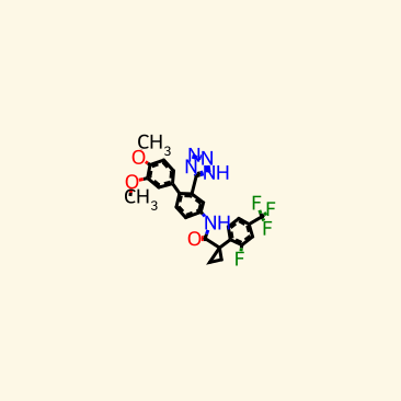 COc1ccc(-c2ccc(NC(=O)C3(c4ccc(C(F)(F)F)cc4F)CC3)cc2-c2nnn[nH]2)cc1OC